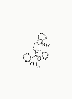 Cc1ccccc1C(=O)N1CCc2c([nH]c3ccccc23)C1c1ccccc1